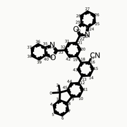 CC1(C)c2ccccc2-c2ccc(-c3ccc(C#N)c(-c4cc(-c5nc6ccccc6o5)cc(-c5nc6ccccc6o5)c4)c3)cc21